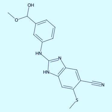 COC(O)c1cccc(Nc2nc3cc(C#N)c(SC)cc3[nH]2)c1